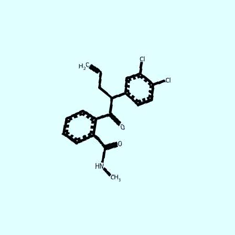 C=CCC(C(=O)c1ccccc1C(=O)NC)c1ccc(Cl)c(Cl)c1